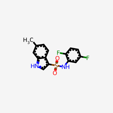 Cc1ccc2c(S(=O)(=O)Nc3cc(F)ccc3F)c[nH]c2c1